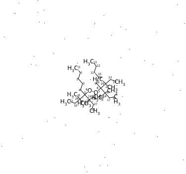 CCCCCC(OOC(CCCCC)(C(C)(C)CC)C(C)(C)CC)(C(C)(C)CC)C(C)(C)CC